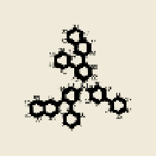 C1=CCCC(c2cc(N(c3ccc(-c4ccccc4)cc3)c3ccc(-c4ccc5ccccc5c4)c(-c4ccccc4)c3)ccc2-c2ccc3ccccc3c2)=C1